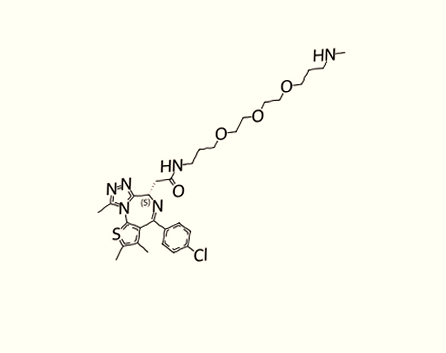 CNCCCOCCOCCOCCCNC(=O)C[C@@H]1N=C(c2ccc(Cl)cc2)c2c(sc(C)c2C)-n2c(C)nnc21